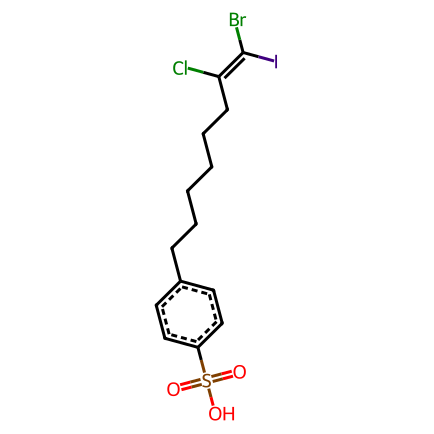 O=S(=O)(O)c1ccc(CCCCCCC(Cl)=C(Br)I)cc1